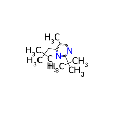 Cc1cnc(C(C)(C)C)nc1CC(C)(C)C